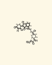 CC(C)(C)OC(=O)NC1CCN(C(=O)CCNc2cccc3c2C(=O)N(C2CCC(=O)NC2=O)C3=O)CC1